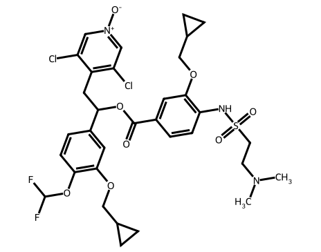 CN(C)CCS(=O)(=O)Nc1ccc(C(=O)OC(Cc2c(Cl)c[n+]([O-])cc2Cl)c2ccc(OC(F)F)c(OCC3CC3)c2)cc1OCC1CC1